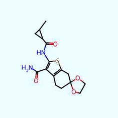 CC1CC1C(=O)Nc1sc2c(c1C(N)=O)CCC1(C2)OCCO1